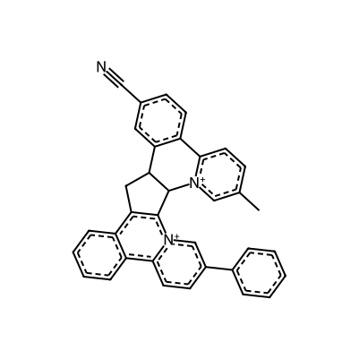 Cc1ccc2[n+](c1)C1c3c(c4ccccc4c4ccc(-c5ccccc5)c[n+]34)CC1c1cc(C#N)ccc1-2